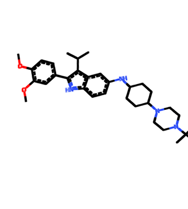 COc1ccc(-c2[nH]c3ccc(NC4CCC(N5CCN(C(C)(C)C)CC5)CC4)cc3c2C(C)C)cc1OC